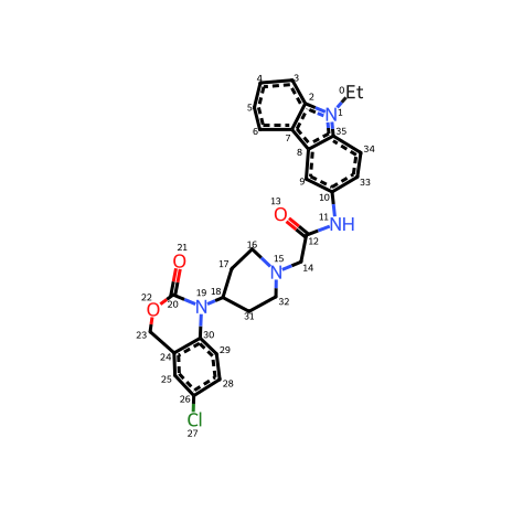 CCn1c2ccccc2c2cc(NC(=O)CN3CCC(N4C(=O)OCc5cc(Cl)ccc54)CC3)ccc21